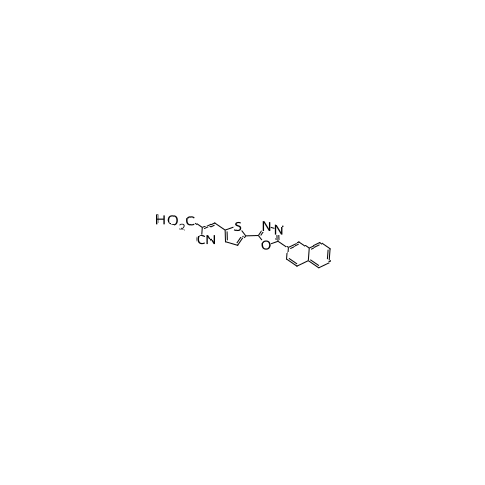 N#C/C(=C\c1ccc(-c2nnc(-c3ccc4ccccc4c3)o2)s1)C(=O)O